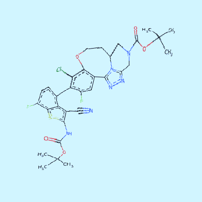 CC(C)(C)OC(=O)Nc1sc2c(F)ccc(-c3c(F)cc4c(c3Cl)OCCC3CN(C(=O)OC(C)(C)C)Cc5nnc-4n53)c2c1C#N